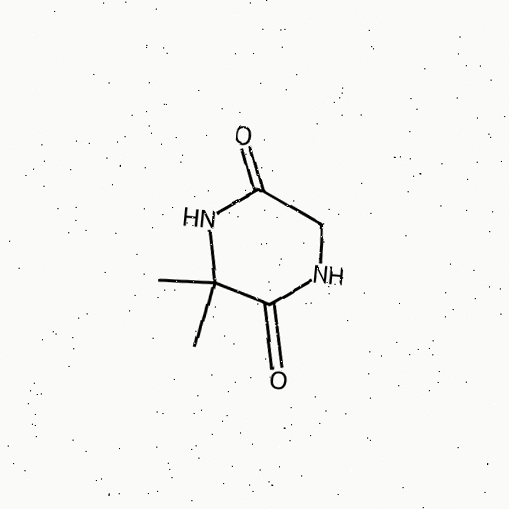 CC1(C)NC(=O)CNC1=O